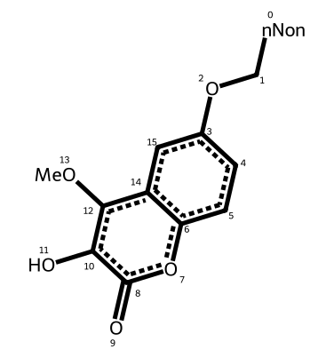 CCCCCCCCCCOc1ccc2oc(=O)c(O)c(OC)c2c1